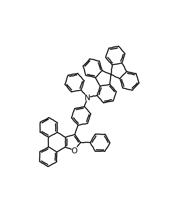 c1ccc(-c2oc3c4ccccc4c4ccccc4c3c2-c2ccc(N(c3ccccc3)c3cccc4c3-c3ccccc3C43c4ccccc4-c4ccccc43)cc2)cc1